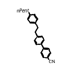 CCCCCc1ccc(CCc2ccc(-c3ccc(C#N)cc3)cc2)cc1